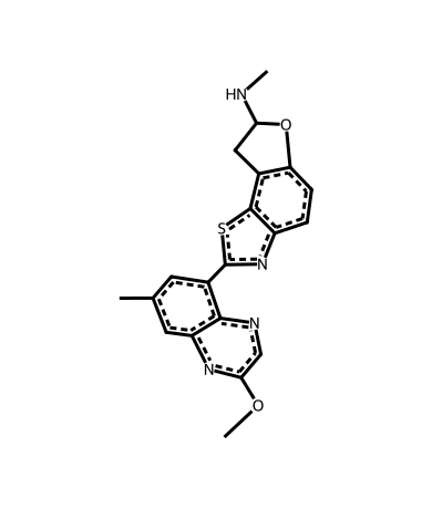 CNC1Cc2c(ccc3nc(-c4cc(C)cc5nc(OC)cnc45)sc23)O1